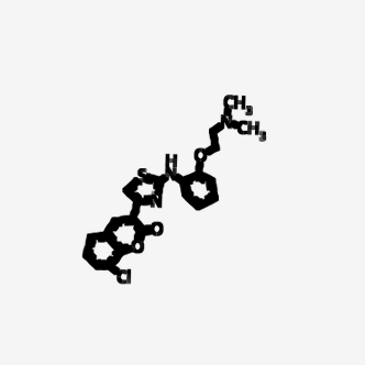 CN(C)CCOc1ccccc1Nc1nc(-c2cc3cccc(Cl)c3oc2=O)cs1